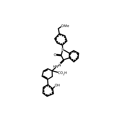 COCc1ccc(N2C(=O)C(=NNC3(C(=O)O)C=CC=C(c4ccccc4O)C3)c3ccccc32)cc1